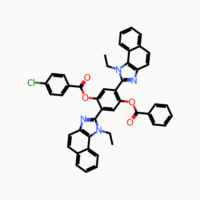 CCn1c(-c2cc(OC(=O)c3ccc(Cl)cc3)c(-c3nc4ccc5ccccc5c4n3CC)cc2OC(=O)c2ccccc2)nc2ccc3ccccc3c21